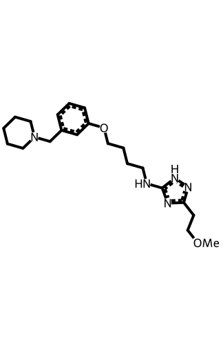 COCCc1n[nH]c(NCCCCOc2cccc(CN3CCCCC3)c2)n1